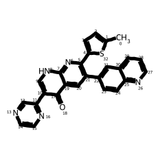 Cc1ccc(-c2nc3[nH]cc(-c4cnccn4)c(=O)c3cc2-c2ccc3ncccc3c2)s1